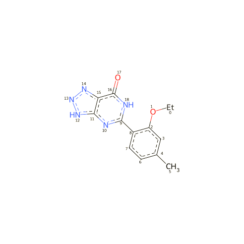 CCOc1cc(C)ccc1-c1nc2[nH]nnc2c(=O)[nH]1